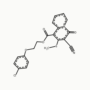 CSc1c(C#N)c(=O)n2ccccc2c1C(=O)OCCOc1ccc(Cl)cc1